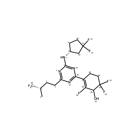 C[C@@H](CCc1nc(N[C@@H]2CCC(F)(F)C2)nc(C2=C(F)C(O)C(F)(F)CC2)n1)C(F)(F)F